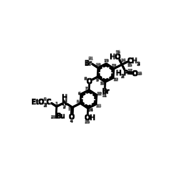 CCOC(=O)C(NC(=O)c1cc(Oc2c(Br)cc(C(C)(O)[PH2]=O)cc2Br)ccc1O)C(C)CC